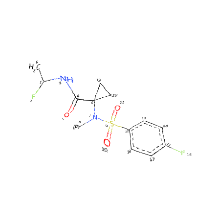 CC(F)NC(=O)C1(N(C(C)C)S(=O)(=O)c2ccc(F)cc2)CC1